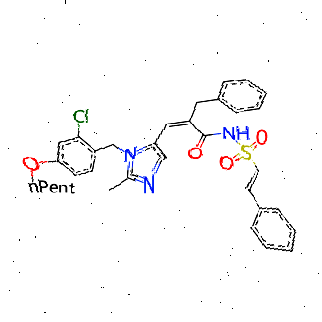 CCCCCOc1ccc(Cn2c(C=C(Cc3ccccc3)C(=O)NS(=O)(=O)C=Cc3ccccc3)cnc2C)c(Cl)c1